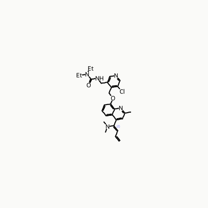 C=C/C=C(/c1cc(C)nc2c(OCc3c(Cl)cncc3CNC(=O)N(CC)CC)cccc12)N(C)C